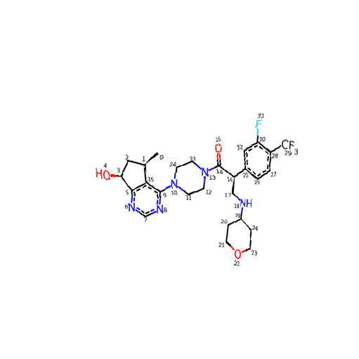 C[C@@H]1C[C@H](O)c2ncnc(N3CCN(C(=O)[C@H](CNC4CCOCC4)c4ccc(C(F)(F)F)c(F)c4)CC3)c21